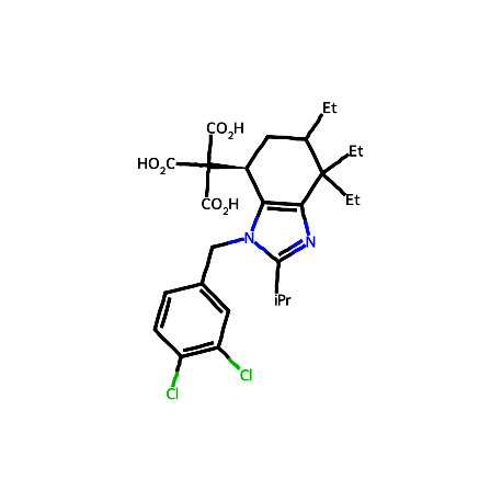 CCC1C[C@H](C(C(=O)O)(C(=O)O)C(=O)O)c2c(nc(C(C)C)n2Cc2ccc(Cl)c(Cl)c2)C1(CC)CC